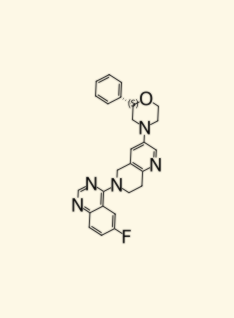 Fc1ccc2ncnc(N3CCc4ncc(N5CCO[C@@H](c6ccccc6)C5)cc4C3)c2c1